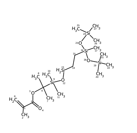 C=C(C)C(=O)OC(C)(C)[Si](C)(C)O[SiH2]CC[Si](C)(O[Si](C)(C)C)O[Si](C)(C)C